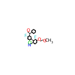 COCCOc1ccc(C#N)c(-c2cc(C(C=O)c3ccccc3)c(F)cc2Cl)c1F